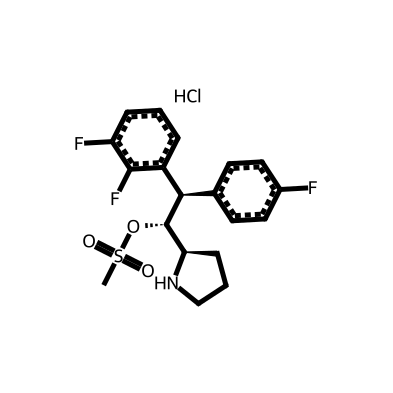 CS(=O)(=O)O[C@H]([C@H](c1ccc(F)cc1)c1cccc(F)c1F)[C@H]1CCCN1.Cl